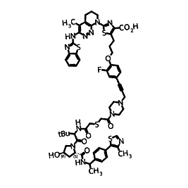 Cc1ncsc1-c1ccc(C(C)NC(=O)[C@@H]2C[C@@H](O)CN2C(=O)C(NC(=O)CSCC(=O)N2CCN(CC#Cc3ccc(OCCCc4sc(N5CCCc6c5nnc(Nc5nc7ccccc7s5)c6C)nc4C(=O)O)c(F)c3)CC2)C(C)(C)C)cc1